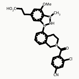 COc1cc(CCC(=O)O)cc2c1N(C)NN2c1cccc2c1CCN(C(=O)c1ccc(C#N)cc1Cl)C2